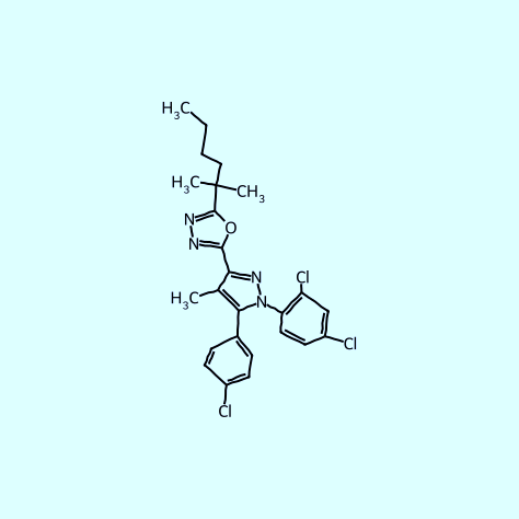 CCCCC(C)(C)c1nnc(-c2nn(-c3ccc(Cl)cc3Cl)c(-c3ccc(Cl)cc3)c2C)o1